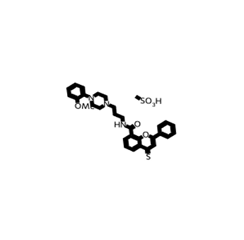 COc1ccccc1N1CCN(CCCNC(=O)c2cccc3c(=S)cc(-c4ccccc4)oc23)CC1.CS(=O)(=O)O